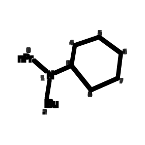 CCCN(C(C)CC)C1CCCCC1